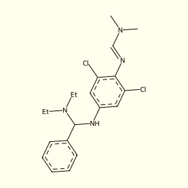 CCN(CC)C(Nc1cc(Cl)c(N=CN(C)C)c(Cl)c1)c1ccccc1